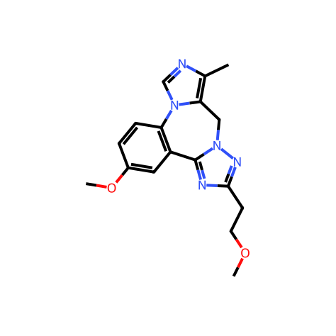 COCCc1nc2n(n1)Cc1c(C)ncn1-c1ccc(OC)cc1-2